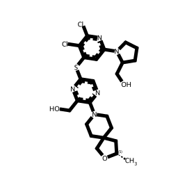 C[C@H]1CC2(CCN(c3ncc(Sc4cc(N5CCCC5CO)nc(Cl)c4Cl)nc3CO)CC2)CO1